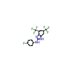 Fc1ccc(Nc2nc3c(C(F)(F)F)cc(C(F)(F)F)cc3[nH]2)cc1